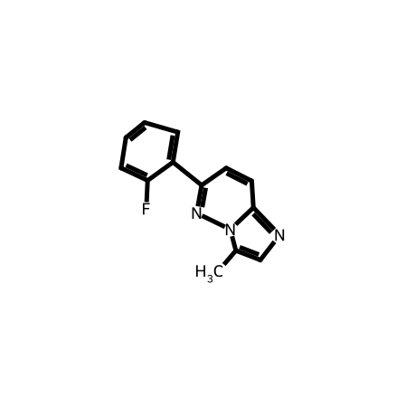 Cc1cnc2ccc(-c3ccccc3F)nn12